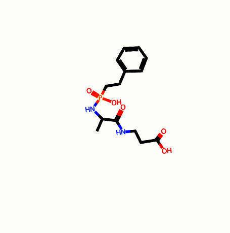 CC(NP(=O)(O)CCc1ccccc1)C(=O)NCCC(=O)O